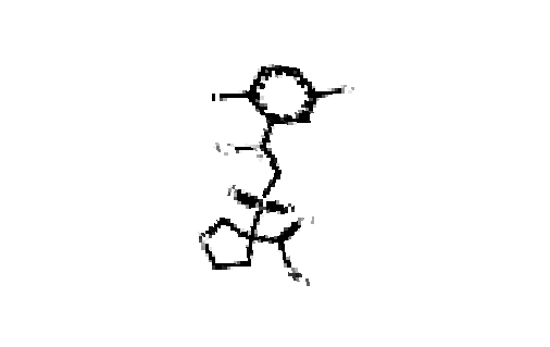 C[C@H](CS(=O)(=O)C1(C(=N)N)CCOC1)c1cc(Br)ccc1F